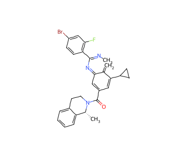 C=C1C(C2CC2)=CC(C(=O)N2CCc3ccccc3[C@H]2C)=C/C1=N/C(=N\C)c1ccc(Br)cc1F